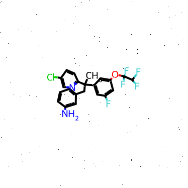 CC(Cc1cccc(N)c1)(c1cc(F)cc(OC(F)(F)C(F)F)c1)c1ccc(Cl)cn1